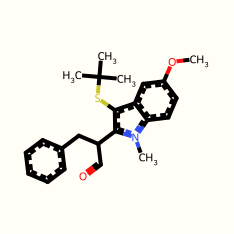 COc1ccc2c(c1)c(SC(C)(C)C)c(C(C=O)Cc1ccccc1)n2C